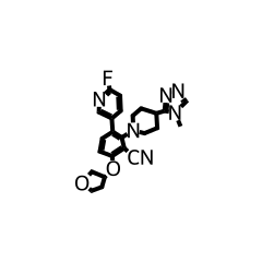 Cn1cnnc1C1CCN(c2c(-c3ccc(F)nc3)ccc(OC3CCOC3)c2C#N)CC1